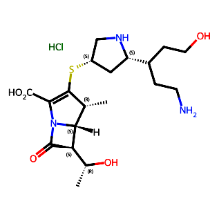 C[C@@H](O)[C@H]1C(=O)N2C(C(=O)O)=C(S[C@@H]3CN[C@H](C(CCN)CCO)C3)[C@H](C)[C@H]12.Cl